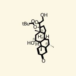 C[C@H]1C[C@@H]2[C@H]([C@@H](O)C[C@@]3(C)[C@H]2CC[C@]3(OC(=O)C(C)(C)C)C(=O)CO)[C@@]2(C)C=CC(=O)C=C12